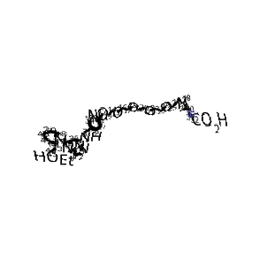 CCc1cnn2c(NCc3ccc(OCCOCCOCCOCCOCCN(C)C/C=C/C(=O)O)nc3)cc(N3CCCC[C@H]3CCO)nc12